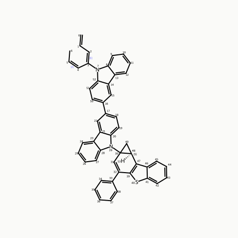 C=C/C=C(\C=C/C)n1c2ccccc2c2cc(-c3ccc4c(c3)c3ccccc3n4C34C=C(c5ccccc5)c5sc6ccccc6c5[C@@H]3C4)ccc21